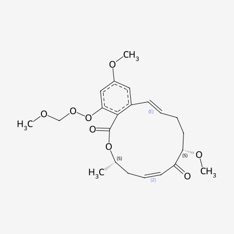 COCOOc1cc(OC)cc2c1C(=O)O[C@@H](C)C/C=C\C(=O)[C@@H](OC)CC/C=C/2